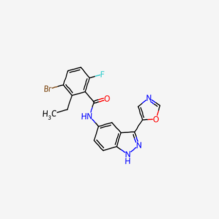 CCc1c(Br)ccc(F)c1C(=O)Nc1ccc2[nH]nc(-c3cnco3)c2c1